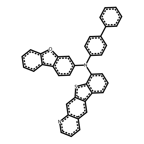 c1ccc(-c2ccc(N(c3ccc4c(c3)oc3ccccc34)c3cccc4c3sc3cc5ncccc5cc34)cc2)cc1